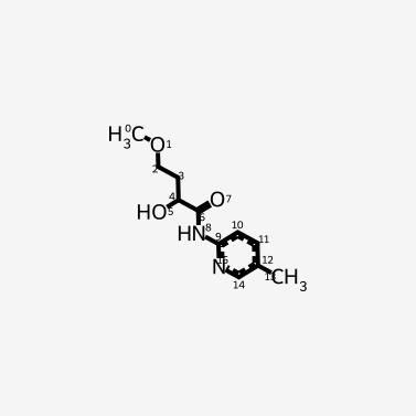 COCCC(O)C(=O)Nc1ccc(C)cn1